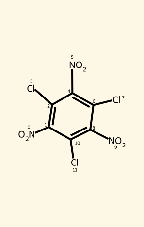 O=[N+]([O-])c1c(Cl)c([N+](=O)[O-])c(Cl)c([N+](=O)[O-])c1Cl